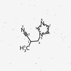 CC(C#N)Cn1ccnc1